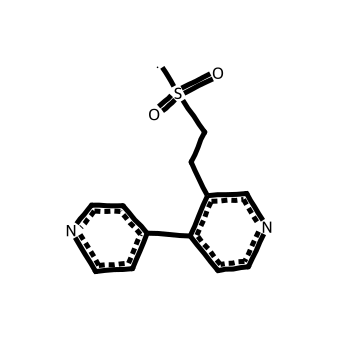 [CH2]S(=O)(=O)CCc1cnccc1-c1ccncc1